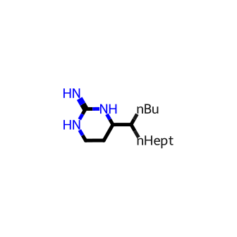 CCCCCCCC(CCCC)C1CCNC(=N)N1